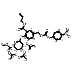 C=CCOC(=O)c1cc(COC(=O)Oc2ccc([N+](=O)[O-])cc2)ccc1OC1O[C@H](C(=O)OC)[C@@H](OC(C)=O)[C@H](OC(C)=O)[C@H]1OC(C)=O